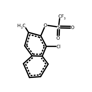 Cc1cc2ccccc2c(Cl)c1OS(=O)(=O)C(F)(F)F